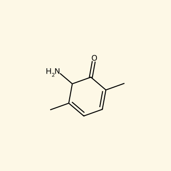 CC1=CC=C(C)C(N)C1=O